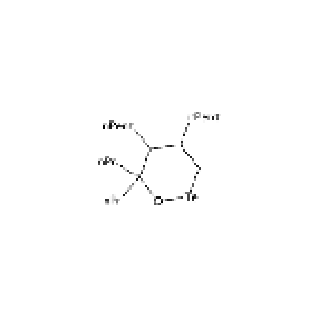 CCCCCC1C[Te]OC(CCC)(CCC)C1CCCCC